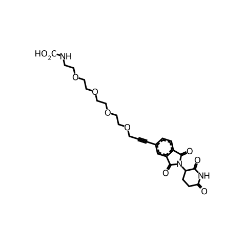 O=C(O)NCCOCCOCCOCCOCC#Cc1ccc2c(c1)C(=O)N(C1CCC(=O)NC1=O)C2=O